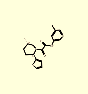 Cc1cncc(NC(=O)C(=O)N2C[C@@H](C)CC[C@@H]2c2cccs2)c1